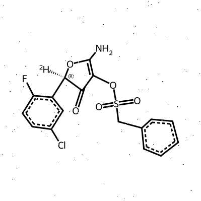 [2H][C@]1(c2cc(Cl)ccc2F)OC(N)=C(OS(=O)(=O)Cc2ccccc2)C1=O